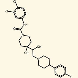 O=C(Nc1ccc(Cl)c(Cl)c1)N1CCC(O)(C(O)CN2CCC(c3ccc(F)cc3)CC2)CC1